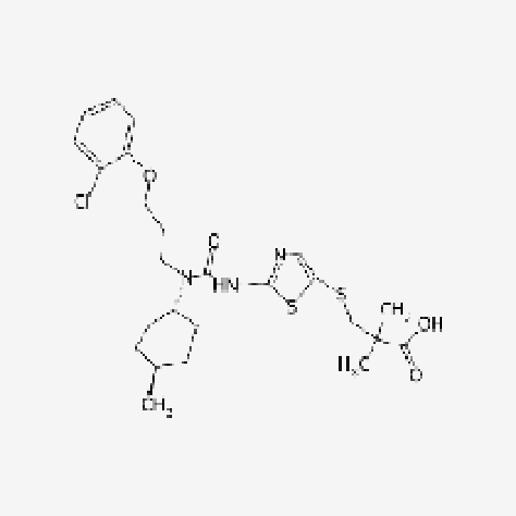 CC(C)(CSc1cnc(NC(=O)N(CCCOc2ccccc2Cl)[C@H]2CC[C@H](C)CC2)s1)C(=O)O